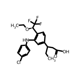 CCO[C@H](c1ccc(C(CC)CC(=O)O)cc1Nc1ccc(Cl)cc1)C(F)(F)F